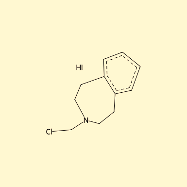 ClCN1CCc2ccccc2CC1.I